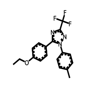 CCOc1ccc(-c2nc(C(F)(F)F)nn2-c2ccc(C)cc2)cc1